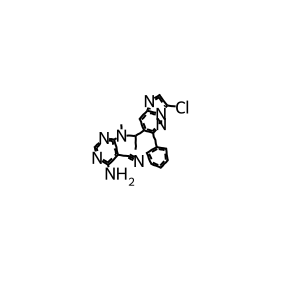 CC(c1cc2ncc(Cl)n2nc1-c1ccccc1)N(C)c1ncnc(N)c1C#N